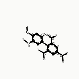 COc1cc(P)c(-c2c(C(C)C)cc(C(C)C)cc2C(C)C)cc1OC